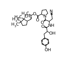 CC(CC1CCC(C)(C)C1(C)C)OC(=O)C1CCCN1C(=O)C(CC#N)NC(=O)C(O)Cc1ccc(O)cc1